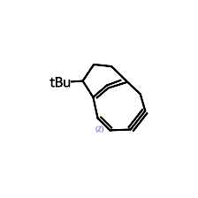 CC(C)(C)C1CCC2=C=C1/C=C\C#CC2